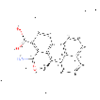 C[C@@H](c1cccc(C(=O)O)c1C(N)=O)c1cccc2ccccc12